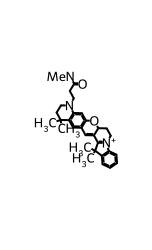 CNC(=O)CCN1CCC(C)(C)c2cc3c(cc21)OC1CC[N+]2=C(C1=C3)C(C)(C)c1ccccc12